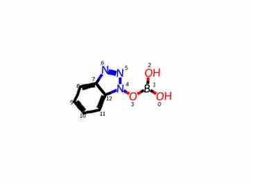 OB(O)On1nnc2ccccc21